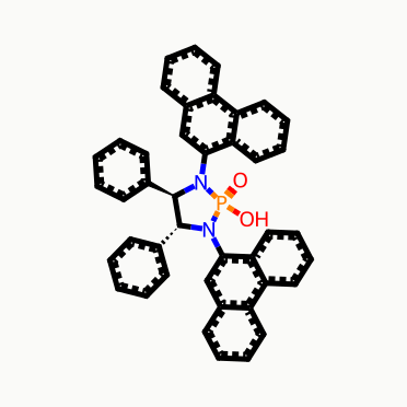 O=P1(O)N(c2cc3ccccc3c3ccccc23)[C@H](c2ccccc2)[C@@H](c2ccccc2)N1c1cc2ccccc2c2ccccc12